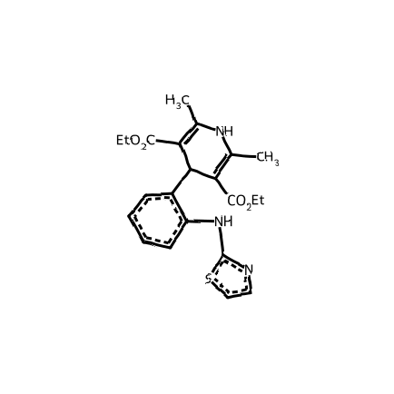 CCOC(=O)C1=C(C)NC(C)=C(C(=O)OCC)C1c1ccccc1Nc1nccs1